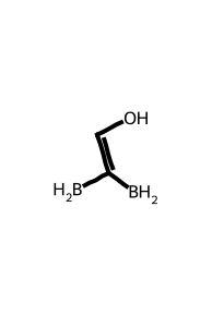 BC(B)=CO